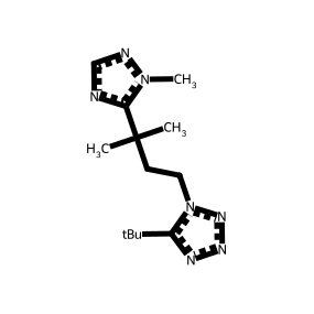 Cn1ncnc1C(C)(C)CCn1nnnc1C(C)(C)C